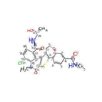 CNC(=O)c1ccc2c(c1)OCCc1cc(C(=O)N(C)c3cc(C(=O)NC[C@@H](C)O)ccc3Cl)sc1-2